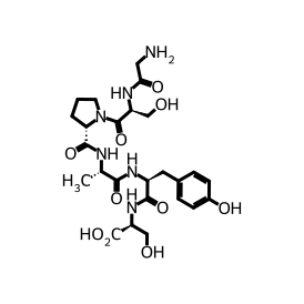 C[C@H](NC(=O)[C@@H]1CCCN1C(=O)[C@H](CO)NC(=O)CN)C(=O)N[C@@H](Cc1ccc(O)cc1)C(=O)N[C@@H](CO)C(=O)O